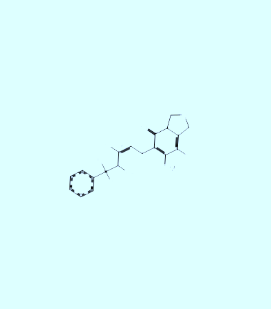 COC1=C(C/C=C(\C(O)C(C)(C(=O)O)c2ccccc2)C(F)(F)F)C(=O)C2COCC2=C1C